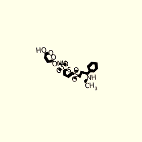 CCNC(CCS(=O)(=O)c1ccc(S(=O)(=O)NOC(=O)/C=C\C(=O)O)s1)c1ccccc1